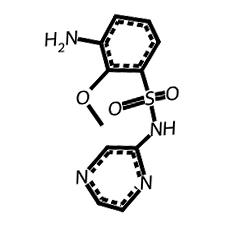 COc1c(N)cccc1S(=O)(=O)Nc1cnccn1